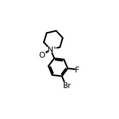 [O-][N+]1(c2ccc(Br)c(F)c2)CCCCC1